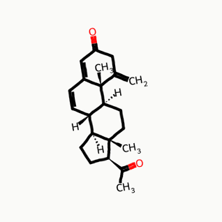 C=C1CC(=O)C=C2C=C[C@@H]3[C@H](CC[C@]4(C)[C@@H](C(C)=O)CC[C@@H]34)[C@@]12C